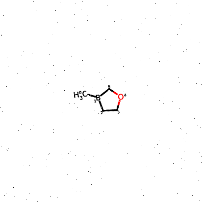 CB1CCOC1